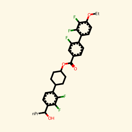 CCCC(O)c1ccc(C2CCC(OC(=O)c3ccc(-c4ccc(OCC)c(F)c4F)c(F)c3)CC2)c(F)c1F